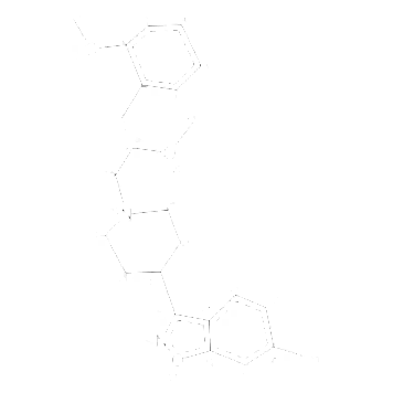 COc1ccccc1C[C@@H](CN1CCC(c2noc3cc(F)ccc23)CC1)OC